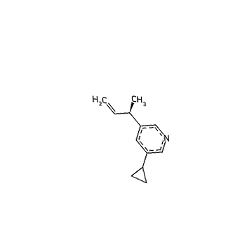 C=C[C@@H](C)c1cncc(C2CC2)c1